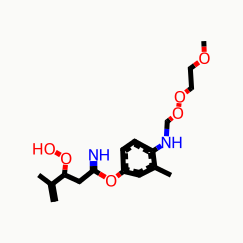 C=C(C)C(CC(=N)Oc1ccc(NCOOCCOC)c(C)c1)OO